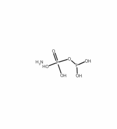 N.O=P(O)(O)OP(O)O